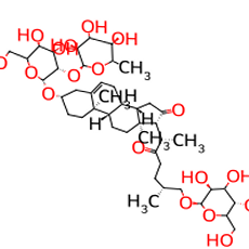 CC1O[C@@H](O[C@H]2C(O)[C@H](O)C(CO)O[C@H]2O[C@H]2CC[C@@]3(C)C(=CC[C@H]4[C@@H]5CC(=O)[C@H]([C@H](C)C(=O)CC[C@@H](C)CO[C@@H]6OC(CO)[C@@H](O)C(O)[C@@H]6O)[C@@]5(C)CC[C@@H]43)C2)[C@@H](O)C(O)[C@H]1O